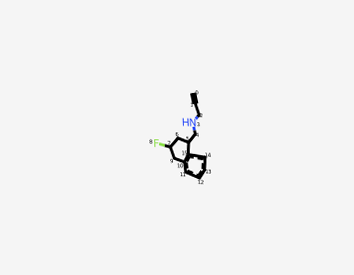 C#CCNCC1CC(F)Cc2ccccc21